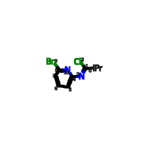 CC(C)/C(Cl)=N/c1cccc(Br)n1